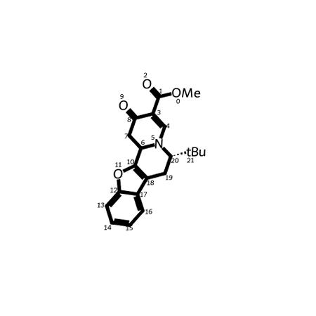 COC(=O)C1=CN2C(CC1=O)c1oc3ccccc3c1C[C@H]2C(C)(C)C